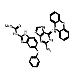 COC(=O)Nc1nc2cc(Sc3ccccc3)ccc2[nH]1.Nc1nc2nc[nH]c2c(=S)[nH]1.c1ccc2c(c1)Nc1ccccc1S2